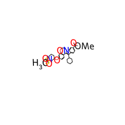 COC(=O)c1ccc2c(C3CCCCC3)c3n(c2c1)CCOc1cc(OC2CCCN(S(C)(=O)=O)C2)ccc1-3